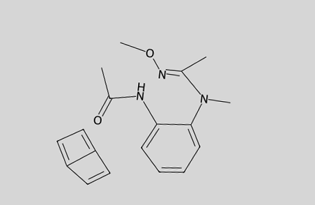 CON=C(C)N(C)c1ccccc1NC(C)=O.c1cc2ccc1-2